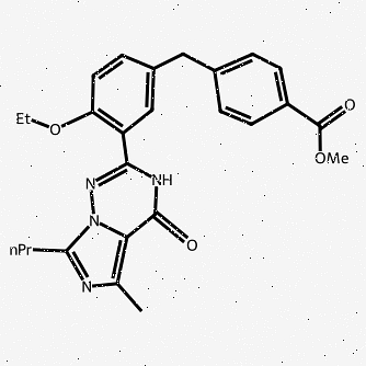 CCCc1nc(C)c2c(=O)[nH]c(-c3cc(Cc4ccc(C(=O)OC)cc4)ccc3OCC)nn12